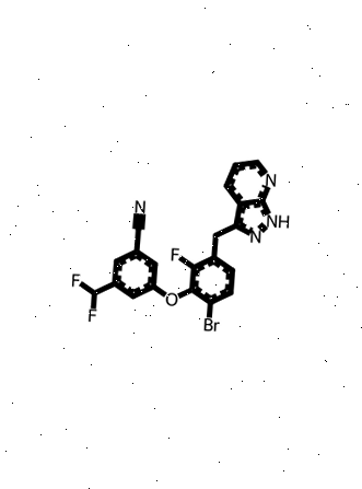 N#Cc1cc(Oc2c(Br)ccc(Cc3n[nH]c4ncccc34)c2F)cc(C(F)F)c1